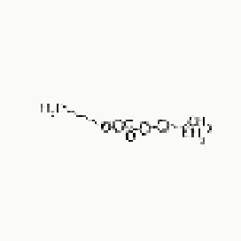 C=CCCCCCCCCOc1ccc(OC(=O)c2ccc(-c3ccc(CCC(C)CC)cc3)cc2)cc1